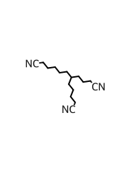 N#CCCCCCC(CCCC#N)CCCCC#N